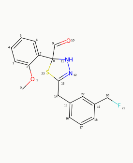 COc1ccccc1C1(C=O)NN=C(Cc2cccc(CF)c2)S1